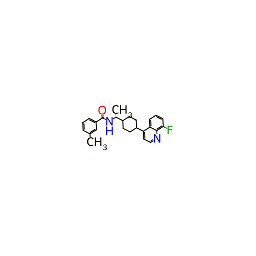 Cc1cccc(C(=O)N[C@H](C)C2CCC(c3ccnc4c(F)cccc34)CC2)c1